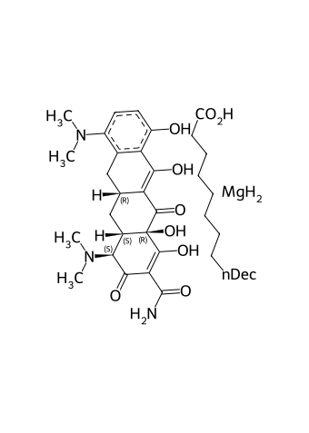 CCCCCCCCCCCCCCCCCC(=O)O.CN(C)c1ccc(O)c2c1C[C@H]1C[C@H]3[C@H](N(C)C)C(=O)C(C(N)=O)=C(O)[C@@]3(O)C(=O)C1=C2O.[MgH2]